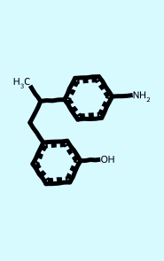 CC(Cc1cccc(O)c1)c1ccc(N)cc1